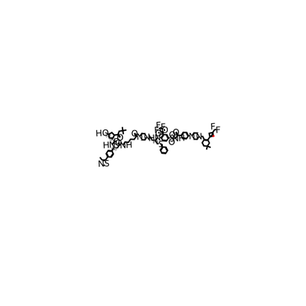 Cc1ncsc1-c1ccc([C@H](CC(=O)NCCCCC(=O)N2CCN(CC[C@H](CSc3ccccc3)Nc3ccc(S(=O)(=O)NC(=O)c4ccc(N5CCN(CC6=C(C78CC(C(F)F)(C7)C8)CC(C)(C)CC6)CC5)cc4)cc3S(=O)(=O)C(F)(F)F)CC2)NC(=O)[C@@H]2C[C@@H](O)CC2C(=O)CC(C)(C)C)cc1